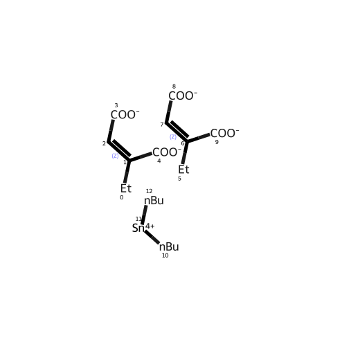 CC/C(=C/C(=O)[O-])C(=O)[O-].CC/C(=C/C(=O)[O-])C(=O)[O-].CCC[CH2][Sn+4][CH2]CCC